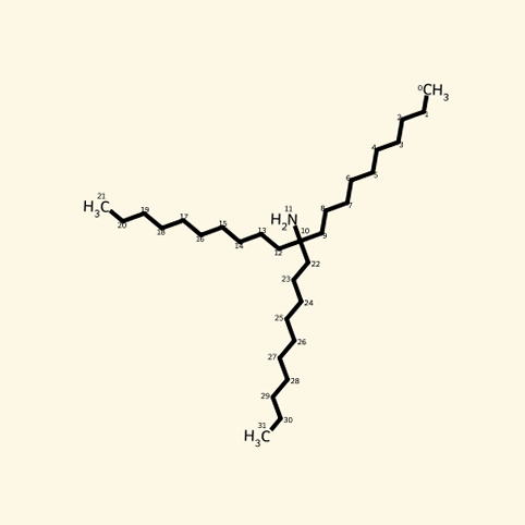 CCCCCCCCCCC(N)(CCCCCCCCCC)CCCCCCCCCC